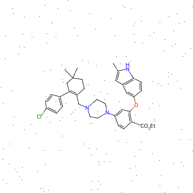 CCOC(=O)c1ccc(N2CCN(CC3=C(c4ccc(Cl)cc4)CC(C)(C)CC3)CC2)cc1Oc1ccc2[nH]c(C)cc2c1